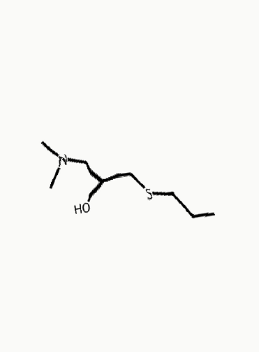 CCCSCC(O)CN(C)C